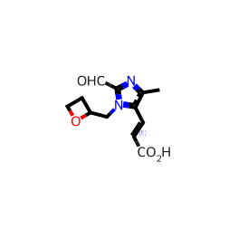 Cc1nc(C=O)n(CC2CCO2)c1/C=C/C(=O)O